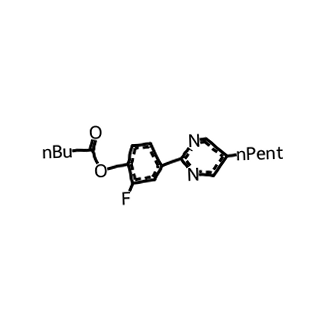 CCCCCc1cnc(-c2ccc(OC(=O)CCCC)c(F)c2)nc1